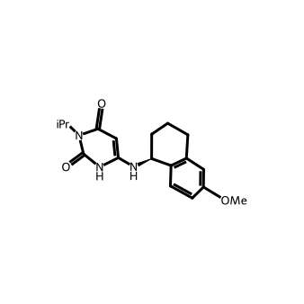 COc1ccc2c(c1)CCC[C@@H]2Nc1cc(=O)n(C(C)C)c(=O)[nH]1